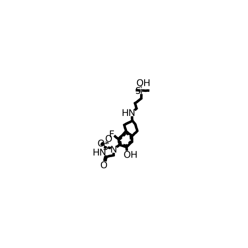 C[Si](C)(O)CCCNC1CCc2cc(O)c(N3CC(=O)NS3(=O)=O)c(F)c2C1